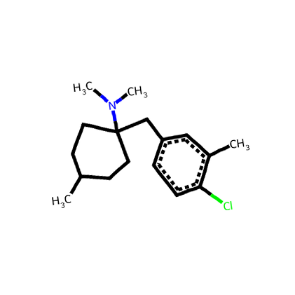 Cc1cc(CC2(N(C)C)CCC(C)CC2)ccc1Cl